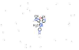 CC[C@@H](Oc1cc(-c2nnn(C3CCNCC3)c2C)cc2ncc(C#N)n12)c1ccccn1